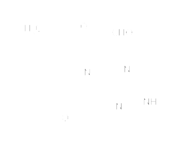 CC1=CC(=O)N(c2nc[nH]n2)C1OC=O